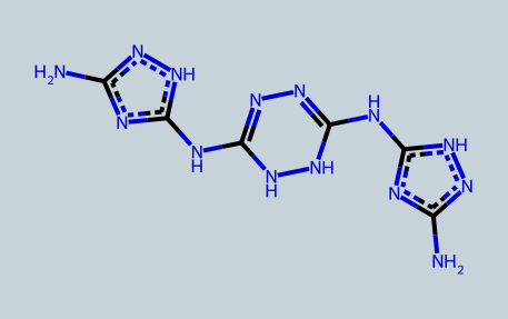 Nc1n[nH]c(NC2=NN=C(Nc3nc(N)n[nH]3)NN2)n1